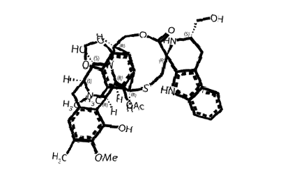 COc1c(C)cc2c(c1O)[C@@H]1[C@@H]3[C@@H]4SC[C@]5(N[C@H](CO)Cc6c5[nH]c5ccccc65)C(=O)OC[C@@H](c5c6c(c(C)c(OC(C)=O)c54)OCO6)N3[C@@H](O)[C@H](C2)N1C